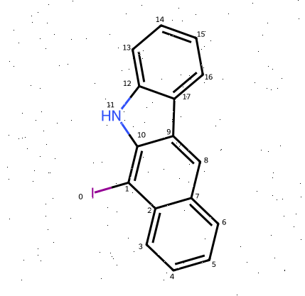 Ic1c2ccccc2cc2c1[nH]c1ccccc12